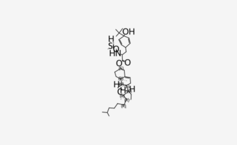 CC(C)CCC[C@@H](C)[C@H]1CC[C@H]2[C@@H]3CC=C4C[C@@H](OC(=O)C(CC5C=CC(O)(C(C)(C)C)C=C5)NO[SiH](C)C)CC[C@]4(C)[C@H]3CC[C@]12C